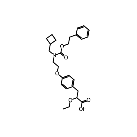 CCOC(Cc1ccc(OCCN(CC2CCC2)C(=O)OCCc2ccccc2)cc1)C(=O)O